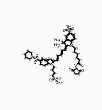 CC1(C)\C(=C/C=C/C=C/c2sc3cc(S(=O)(=O)N4CCCCC4)ccc3[n+]2CCCCS(=O)(=O)O)N(CCCCCC(=O)ON2C(=O)CCC2=O)c2ccc(S(=O)(=O)O)cc21